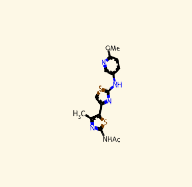 COc1ccc(Nc2nc(-c3sc(NC(C)=O)nc3C)cs2)cn1